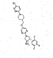 CCc1ccc(N2CCC(COc3cnc(N4C[C@H](c5cc(F)c(F)cc5F)[C@@H](N)C4)nc3)CC2)nn1